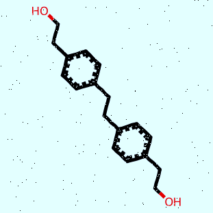 OCCc1ccc(CCc2ccc(CCO)cc2)cc1